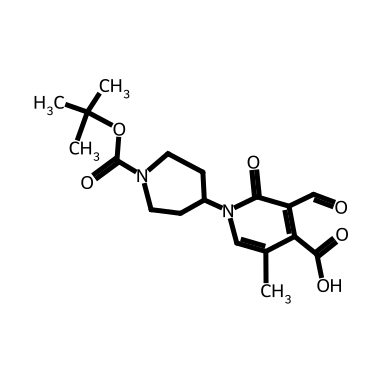 Cc1cn(C2CCN(C(=O)OC(C)(C)C)CC2)c(=O)c(C=O)c1C(=O)O